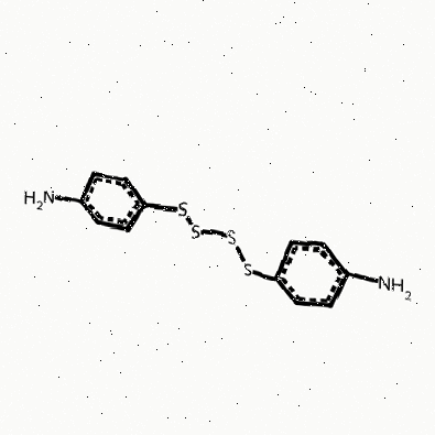 Nc1ccc(SSSSc2ccc(N)cc2)cc1